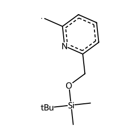 [CH2]c1cccc(CO[Si](C)(C)C(C)(C)C)n1